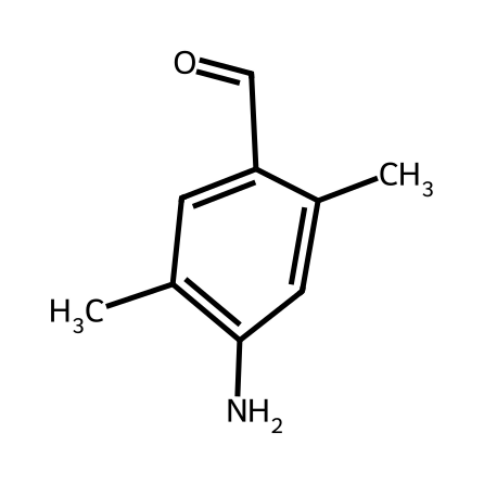 Cc1cc(C=O)c(C)cc1N